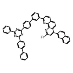 CC(C)c1cc(-c2ccc3ccccc3c2)c2ccc3ccc(-c4cccc(-c5ccc(-c6nc(-c7ccccc7)nc(-c7ccc(-c8ccccc8)cc7)n6)cc5)c4)nc3c2n1